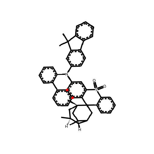 C[C@@H]1CC2CC3(c4ccccc4S(=O)(=O)c4cc(N(c5ccc6c(c5)C(C)(C)c5ccccc5-6)c5ccccc5-c5ccccc5)ccc43)[C@@H](C1)C[C@H]2C